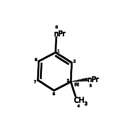 CCCC1=C[C@](C)(CCC)CC=C1